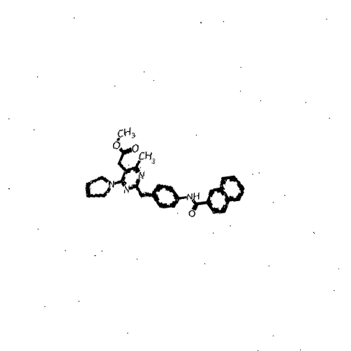 COC(=O)Cc1c(C)nc(Cc2ccc(NC(=O)c3ccc4ccccc4c3)cc2)nc1N1CCCC1